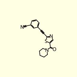 N#Cc1cccc(C#Cc2ncc(C(=O)N3CCCCC3)s2)c1